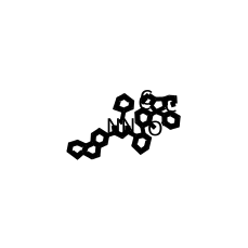 c1ccc(-c2nc(-c3ccc4c(ccc5ccccc54)c3)cc(-c3ccccc3-c3cccc4c3Oc3ccccc3C43c4ccccc4-c4ccccc43)n2)cc1